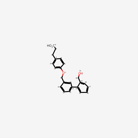 O=C(O)CCc1ccc(OCc2cccc(-c3ccccc3CO)c2)cc1